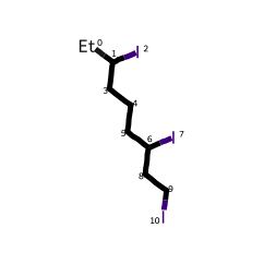 CCC(I)CCCC(I)CCI